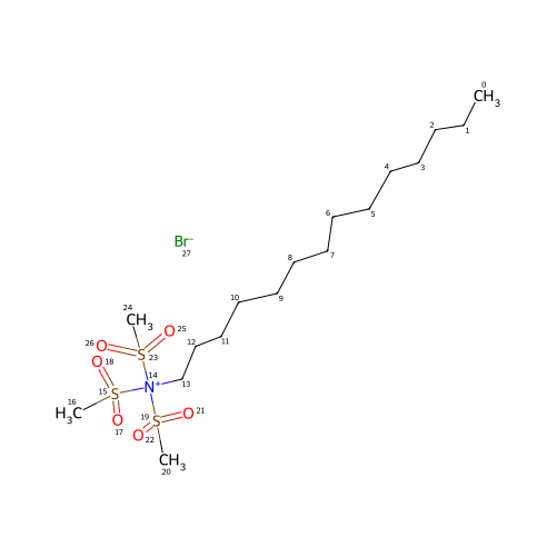 CCCCCCCCCCCCCC[N+](S(C)(=O)=O)(S(C)(=O)=O)S(C)(=O)=O.[Br-]